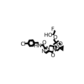 CC(C)(CO[C@@H](O)CF)S(=O)(=O)C1(CN2CCn3c(cnc3C(=O)NCc3ccc(Cl)cc3)C2=O)CC1